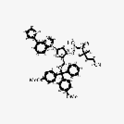 COc1ccc(C(OC[C@H]2O[C@@H](n3cnc4c(-c5cccs5)cccc43)C[C@@H]2OP(O)N(C(C)C)C(C)(C)CCC#N)(c2ccccc2)c2ccc(OC)cc2)cc1